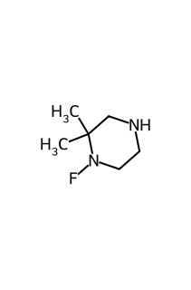 CC1(C)CNCCN1F